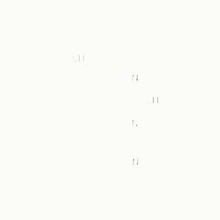 C=Cc1ccc2cncnc2c1/C=N\C